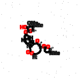 CC[C@H]1CCC[C@H](O[C@H]2CC[C@H](NC)[C@@H](C)O2)[C@@H](C)C(=O)C2=C[C@@H]3[C@@H](C=C[C@@H]4C[C@@H](O[C@@H]5O[C@@H](C)[C@H](OC)[C@@H](OC)[C@H]5O)C[C@@H]34)[C@@H]2CC(=O)O1